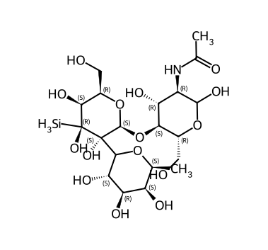 CC(=O)N[C@H]1C(O)O[C@H](CO)[C@@H](O[C@@H]2O[C@H](CO)[C@H](O)[C@@](O)([SiH3])[C@]2(O)C2O[C@@H](C)[C@@H](O)[C@@H](O)[C@@H]2O)[C@@H]1O